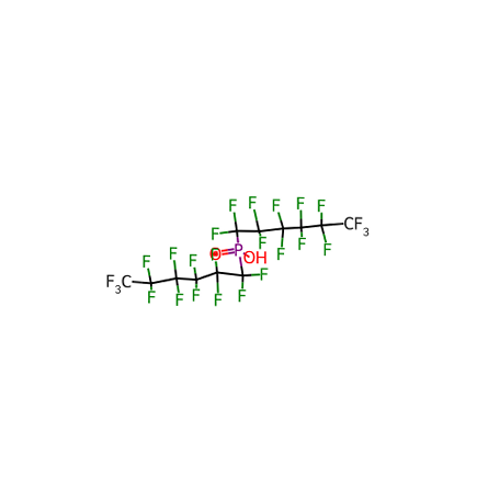 O=P(O)(C(F)(F)C(F)(F)C(F)(F)C(F)(F)C(F)(F)C(F)(F)F)C(F)(F)C(F)(F)C(F)(F)C(F)(F)C(F)(F)C(F)(F)F